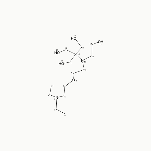 CCN(CC)CCOCCN(CCO)C(CO)(CO)CO